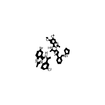 COc1cc2nc(C)nc(NC(C)c3ccc(-c4ccccc4CNC4CCCC4)s3)c2cc1OC.Cc1nc(NC(C)c2cccc(Cl)c2)c2cc(Br)ccc2n1